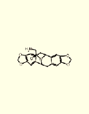 NCC(=O)N1C2Cc3cc4c(cc3C1Cc1cc3c(cc12)OCO3)OCO4